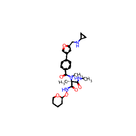 CNC(=O)[C@@](C)(C(=O)NOC1CCCCO1)N(C)C(=O)c1ccc(-c2coc(CNC3CC3)c2)cc1